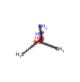 CCCCCCCCCCCCCCCC(=O)CC[C@@H](COP(=O)(O)OCCNC(=O)CCCCCN)OC(=O)CCCCCCCCCCCCCCC